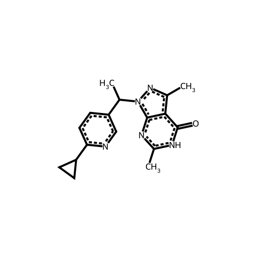 Cc1nc2c(c(C)nn2C(C)c2ccc(C3CC3)nc2)c(=O)[nH]1